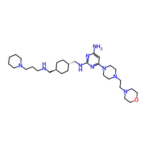 Nc1cc(N2CCN(CCN3CCOCC3)CC2)nc(NC[C@H]2CC[C@H](CNCCCN3CCCCC3)CC2)n1